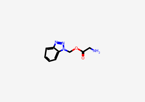 NCC(=O)OCn1nnc2ccccc21